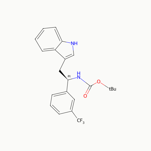 CC(C)(C)OC(=O)N[C@H](Cc1c[nH]c2ccccc12)c1cccc(C(F)(F)F)c1